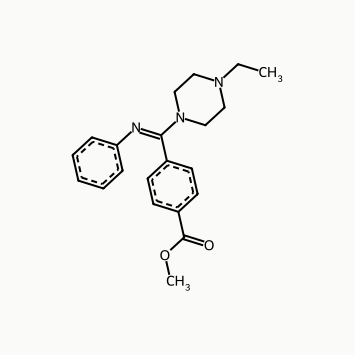 CCN1CCN(/C(=N/c2ccccc2)c2ccc(C(=O)OC)cc2)CC1